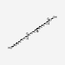 O=C(NCSCSCSC/N=C/[S+]([O-])CSCSCSC(=O)NCSCSCSC/N=C/OOCCO)OCCO